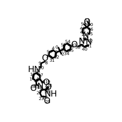 CC(C)(c1ccc(OCCCNc2ccc3c(c2)C(=O)N(C2CCC(=O)NC2=O)C3=O)cc1)c1ccc(OCc2ccnc(N3CCC4(CC3)COC4)n2)cc1